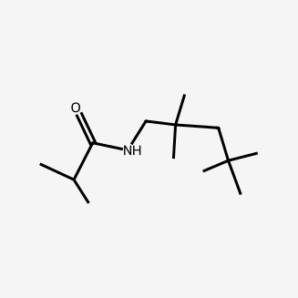 CC(C)C(=O)NCC(C)(C)CC(C)(C)C